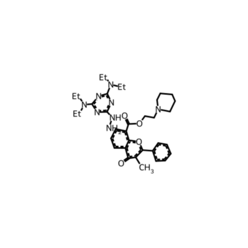 CCN(CC)c1nc(NN)nc(N(CC)CC)n1.Cc1c(-c2ccccc2)oc2c(C(=O)OCCN3CCCCC3)cccc2c1=O